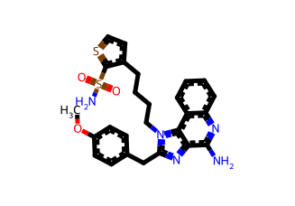 COc1ccc(Cc2nc3c(N)nc4ccccc4c3n2CCCCc2ccsc2S(N)(=O)=O)cc1